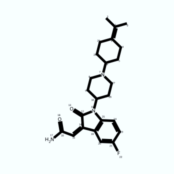 CC(C)=C1CCC(N2CCC(N3C(=O)C(=CC(N)=O)c4cc(F)ccc43)CC2)CC1